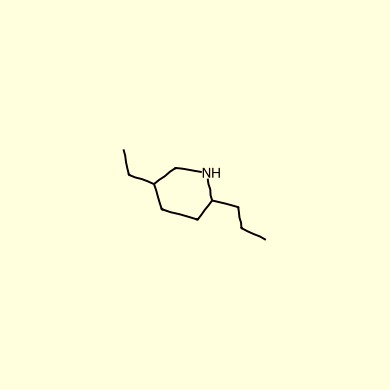 CCCC1CCC(CC)CN1